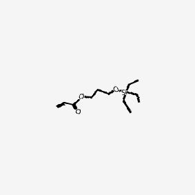 C=CC(=O)OCCCO[Si](CC)(CC)CC